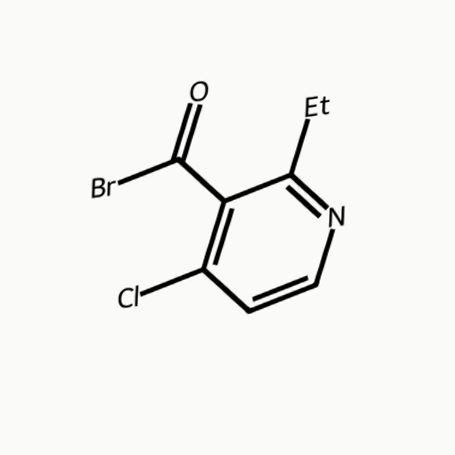 CCc1nccc(Cl)c1C(=O)Br